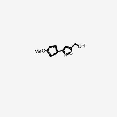 COc1ccc(-c2cc(CO)sn2)cc1